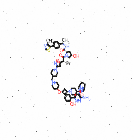 Cc1ncsc1-c1ccc([C@H](C)NC(=O)[C@@H]2C[C@@H](O)CN2C(=O)[C@@H](c2cc(N3CCC(CN4CCC(O[C@H]5C[C@H](N6CCC(C(=O)N7C8CCC7CN(c7cc(-c9ccccc9O)nnc7N)C8)CC6)C5)CC4)CC3)no2)C(C)C)cc1